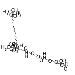 CC(C)(C)OC(=O)CCCCCCCCCCCCC(=O)N[C@@H](CCCC(=O)NCCOCCOCC(=O)NCCOCCOCC(=O)ON1C(=O)CCC1=O)C(=O)OC(C)(C)C